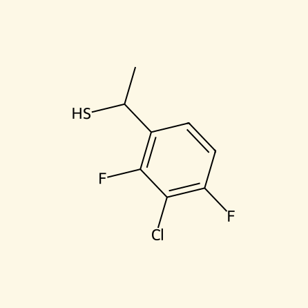 CC(S)c1ccc(F)c(Cl)c1F